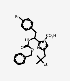 CCC(C)(C)Cc1cn(C(=O)O)c(C(Cc2ccc(Br)cc2)NC(=O)OCc2ccccc2)n1